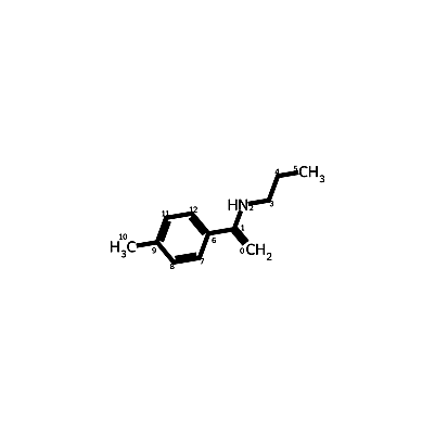 C=C(NCCC)c1ccc(C)cc1